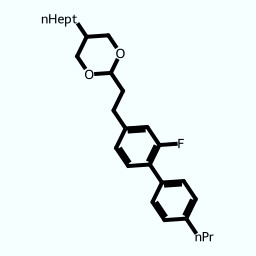 CCCCCCCC1COC(CCc2ccc(-c3ccc(CCC)cc3)c(F)c2)OC1